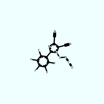 N#Cc1nc(-c2c(F)c(F)c(F)c(F)c2F)n(SN=C=O)c1C#N